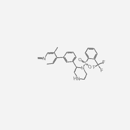 C=N/C=C(C)\C(=C/C)c1cccc(C2CNCCN2S(=O)(=O)c2ccccc2C(F)(F)F)c1